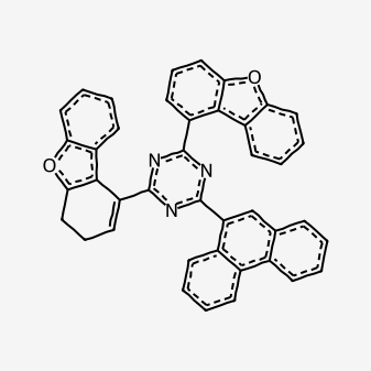 C1=C(c2nc(-c3cc4ccccc4c4ccccc34)nc(-c3cccc4oc5ccccc5c34)n2)c2c(oc3ccccc23)CC1